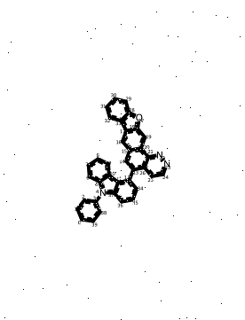 c1ccc(-n2c3ccccc3c3c(-c4cc5cc6c(cc5c5nnccc45)oc4ccccc46)cccc32)cc1